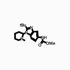 COC(=O)Nc1ccc2c(c1)nc(C(C)(C)C)n2C1CCCCN1C